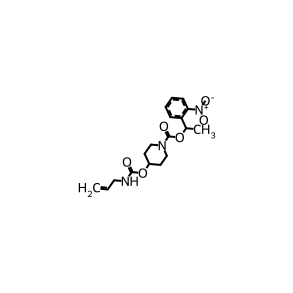 C=CCNC(=O)OC1CCN(C(=O)OC(C)c2ccccc2[N+](=O)[O-])CC1